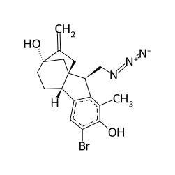 C=C1C[C@]23C[C@@]1(O)CC[C@H]2c1cc(Br)c(O)c(C)c1[C@@H]3CN=[N+]=[N-]